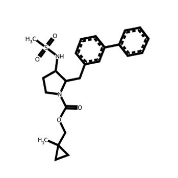 CC1(COC(=O)N2CCC(NS(C)(=O)=O)C2Cc2cccc(-c3ccccc3)c2)CC1